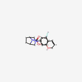 O=C(O)N1C2CCC1CN(c1cc(F)c3c(c1)OCC=C3)C2